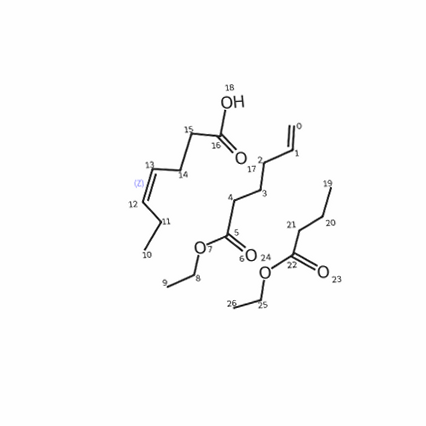 C=CCCCC(=O)OCC.CC/C=C\CCC(=O)O.CCCC(=O)OCC